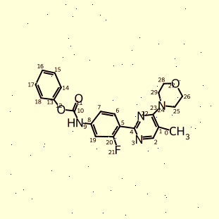 Cc1cnc(-c2ccc(NC(=O)Oc3ccccc3)cc2F)nc1N1CCOCC1